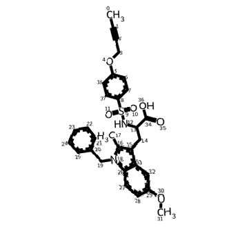 CC#CCOc1ccc(S(=O)(=O)NC(Cc2c(C)n(Cc3ccccc3)c3ccc(OC)cc23)C(=O)O)cc1